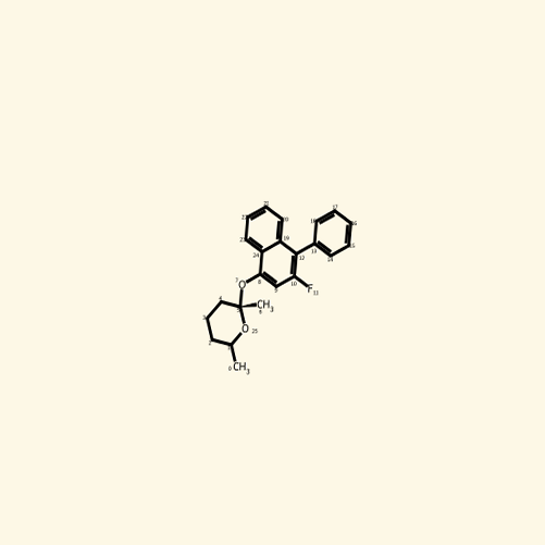 CC1CCC[C@](C)(Oc2cc(F)c(-c3ccccc3)c3ccccc23)O1